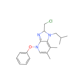 CC1=CN(Oc2ccccc2)C2=NC(CCl)N(CC(C)C)C2=C1C